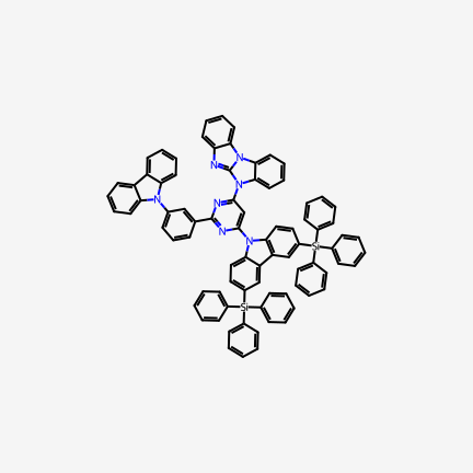 c1ccc([Si](c2ccccc2)(c2ccccc2)c2ccc3c(c2)c2cc([Si](c4ccccc4)(c4ccccc4)c4ccccc4)ccc2n3-c2cc(-n3c4ccccc4n4c5ccccc5nc34)nc(-c3cccc(-n4c5ccccc5c5ccccc54)c3)n2)cc1